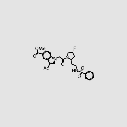 COC(=O)c1ccc2c(c1)c(C(C)=O)cn2CC(=O)N1C[C@H](F)C[C@H]1CCNS(=O)(=O)c1ccccc1